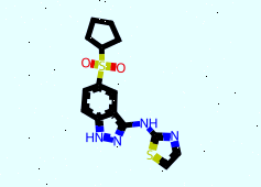 O=S(=O)(c1ccc2[nH]nc(Nc3nccs3)c2c1)C1CCCC1